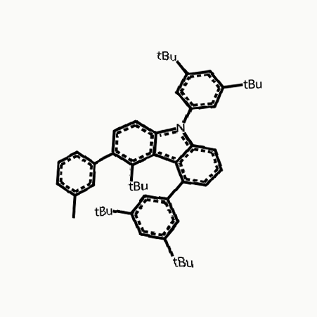 Cc1cccc(-c2ccc3c(c2C(C)(C)C)c2c(-c4cc(C(C)(C)C)cc(C(C)(C)C)c4)cccc2n3-c2cc(C(C)(C)C)cc(C(C)(C)C)c2)c1